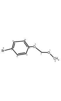 COCOc1c[c]c(Br)cc1